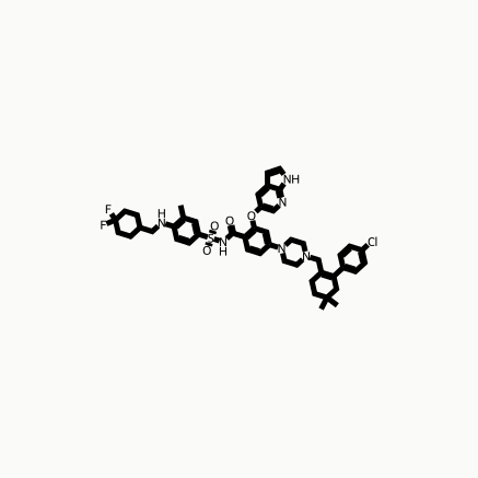 Cc1cc(S(=O)(=O)NC(=O)c2ccc(N3CCN(CC4=C(c5ccc(Cl)cc5)CC(C)(C)CC4)CC3)cc2Oc2cnc3[nH]ccc3c2)ccc1NCC1CCC(F)(F)CC1